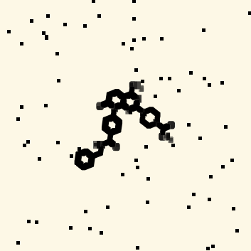 CC(=O)N1CCN(c2nc(C)c3ccc(=O)n(-c4ccc(C(=O)NCc5ccccc5)cc4)c3n2)CC1